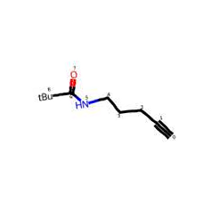 C#CCCCNC(=O)C(C)(C)C